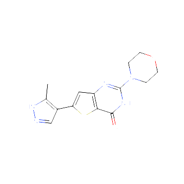 Cc1[nH]ncc1-c1cc2nc(N3CCOCC3)[nH]c(=O)c2s1